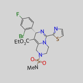 CCOC(=O)C1=C2CN(S(=O)(=O)NC)CCN2C(c2nccs2)=N[C@H]1c1ccc(F)cc1Br